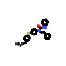 O=C(O)Cc1ccc(Sc2ccc(N(CCc3ccccc3)C(=O)Nc3ccccc3)cc2)cc1